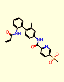 C=CC(=O)Nc1ccccc1-c1ccc(NC(=O)c2ccc(S(C)(=O)=O)cn2)cc1C